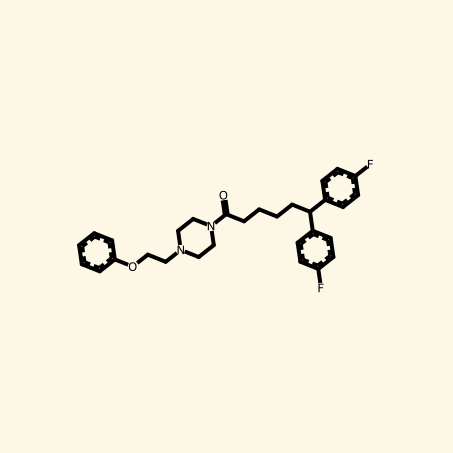 O=C(CCCCC(c1ccc(F)cc1)c1ccc(F)cc1)N1CCN(CCOc2ccccc2)CC1